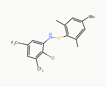 Cc1cc(C(C)(C)C)cc(C)c1SNc1cc(C(F)(F)F)cc(C(F)(F)F)c1Cl